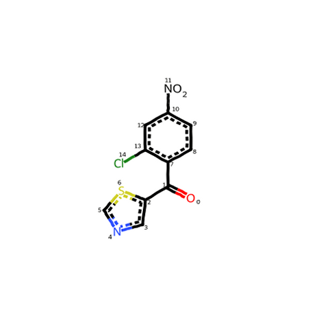 O=C(c1cncs1)c1ccc([N+](=O)[O-])cc1Cl